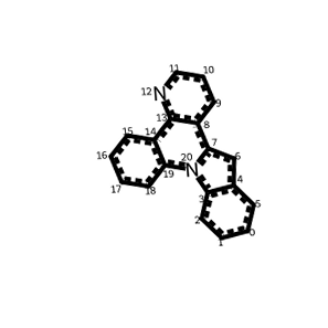 c1ccc2c(c1)cc1c3cccnc3c3ccccc3n21